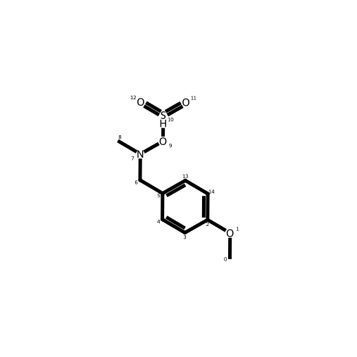 COc1ccc(CN(C)O[SH](=O)=O)cc1